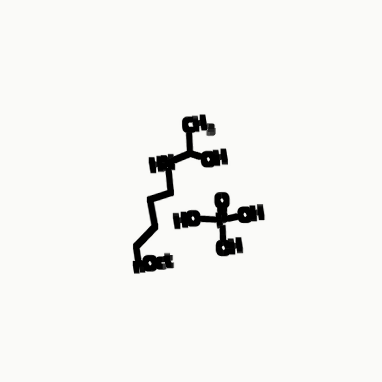 CCCCCCCCCCCCNC(C)O.O=P(O)(O)O